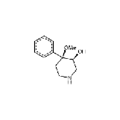 CO[C@]1(c2ccccc2)CCNC[C@@H]1O